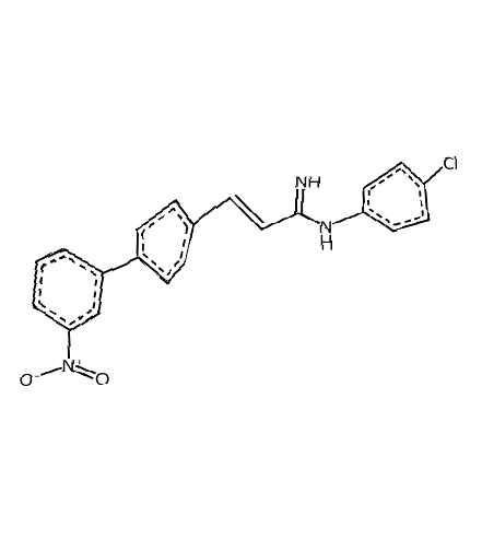 N=C(/C=C/c1ccc(-c2cccc([N+](=O)[O-])c2)cc1)Nc1ccc(Cl)cc1